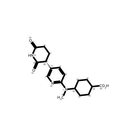 CN(c1ccc([C@H]2CCC(=O)NC2=O)cn1)C1CCC(C(=O)O)CC1